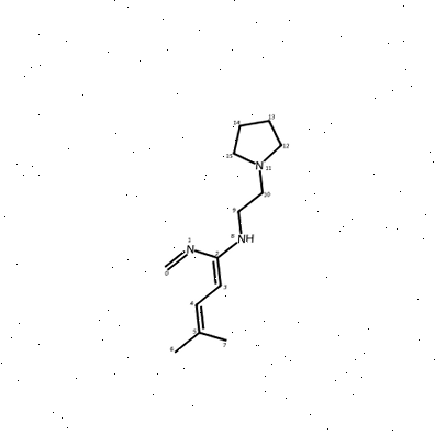 C=N/C(=C\C=C(C)C)NCCN1CCCC1